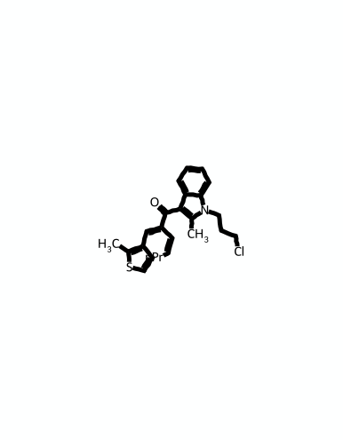 CCC/C=C\C(=C/c1ccsc1C)C(=O)c1c(C)n(CCCCl)c2ccccc12